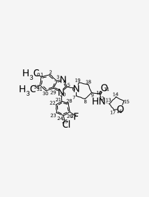 Cc1cc2nc(N3CCC(C(=O)N[C@@H]4CCOC4)CC3)n(-c3ccc(Cl)c(F)c3)c2cc1C